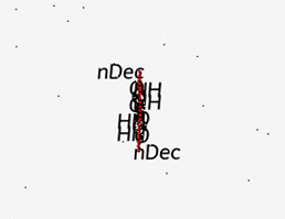 CCCCCCCCCCCCCCCCCC(=O)NCCOCCNC(=O)CCSSCCC(=O)NCCOCCNC(=O)CCCCCCCCCCCCCCCCC